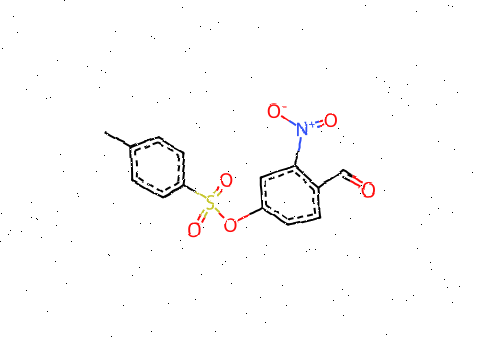 Cc1ccc(S(=O)(=O)Oc2ccc(C=O)c([N+](=O)[O-])c2)cc1